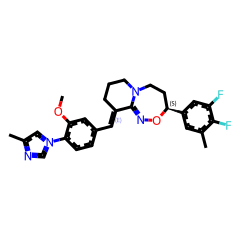 COc1cc(/C=C2\CCCN3CC[C@@H](c4cc(C)c(F)c(F)c4)ON=C23)ccc1-n1cnc(C)c1